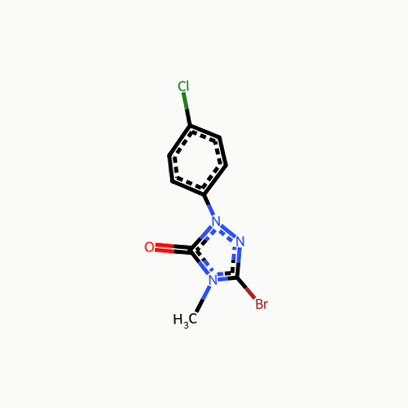 Cn1c(Br)nn(-c2ccc(Cl)cc2)c1=O